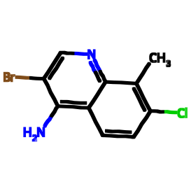 Cc1c(Cl)ccc2c(N)c(Br)cnc12